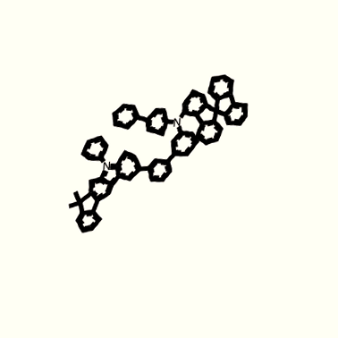 CC1(C)c2ccccc2-c2cc3c4cc(-c5cccc(-c6cccc(N(c7ccc(-c8ccccc8)cc7)c7cccc8c7-c7ccccc7C87c8ccccc8-c8ccccc87)c6)c5)ccc4n(-c4ccccc4)c3cc21